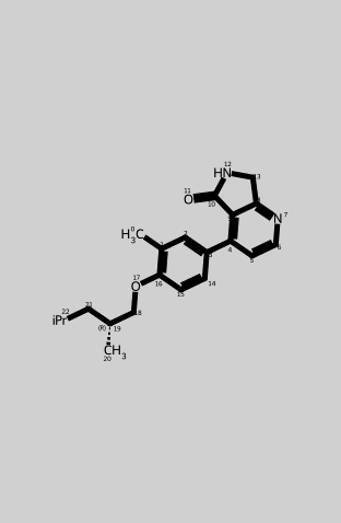 Cc1cc(-c2ccnc3c2C(=O)NC3)ccc1OC[C@H](C)CC(C)C